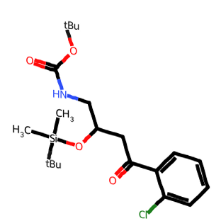 CC(C)(C)OC(=O)NCC(CC(=O)c1ccccc1Cl)O[Si](C)(C)C(C)(C)C